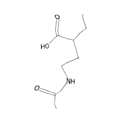 CCC(CCNC(C)=O)C(=O)O